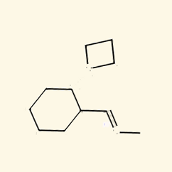 C/N=C/C1CCCC[C@@H]1N1CCC1